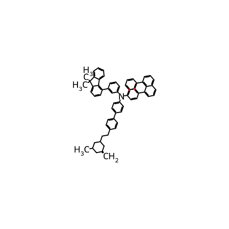 C=C1CC(C)CC(CCc2ccc(-c3ccc(N(c4ccc(-c5cccc6cccc(-c7ccccc7)c56)cc4)c4cccc(-c5cccc6c5-c5ccccc5C6(C)C)c4)cc3)cc2)C1